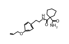 C=CCOc1ccc(C[CH]NC(=O)C2(C(N)=O)CCCCC2)cc1